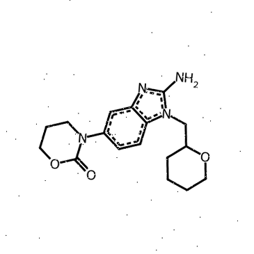 Nc1nc2cc(N3CCCOC3=O)ccc2n1CC1CCCCO1